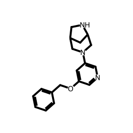 c1ccc(COc2cncc(N3CC4CNC(C4)C3)c2)cc1